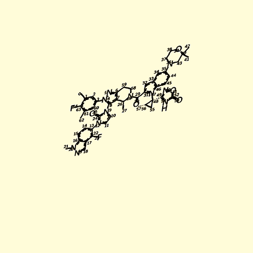 Cc1cc(-n2nc3c(c2-n2ccn(-c4ccc5c(cnn5C)c4F)c2=O)[C@H](C)N(C(=O)c2cc4cc(N5CCOC(C)(C)C5)ccc4n2[C@@]2(c4noc(=O)[nH]4)C[C@@H]2C)CC3)cc(C)c1F